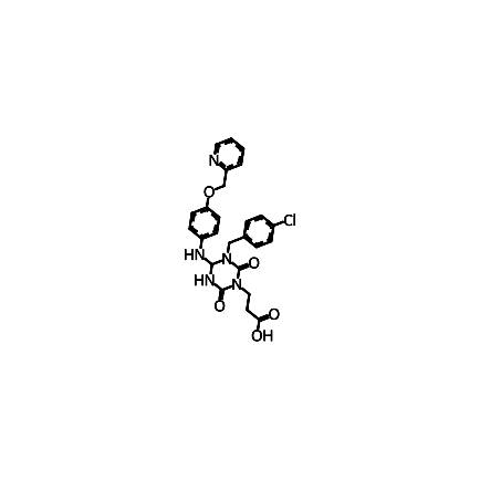 O=C(O)CCN1C(=O)NC(Nc2ccc(OCc3ccccn3)cc2)N(Cc2ccc(Cl)cc2)C1=O